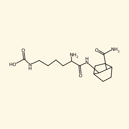 NC(=O)C1C2CCC(CC2)C1NC(=O)C(N)CCCCNC(=O)O